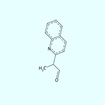 CC(C=O)c1ccc2ccccc2n1